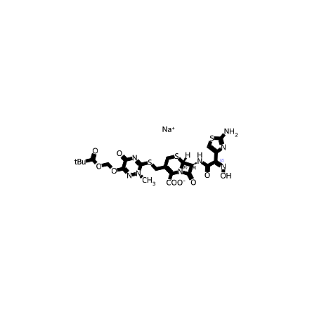 Cn1nc(OCOC(=O)C(C)(C)C)c(=O)nc1SCC1=C(C(=O)[O-])N2C(=O)[C@@H](NC(=O)/C(=N\O)c3csc(N)n3)[C@H]2SC1.[Na+]